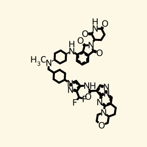 CN(CC1CCC(n2cc(NC(=O)c3cnn4cc5c(nc34)N3CCOCC3CC5)c(C(F)F)n2)CC1)[C@H]1CC[C@H](Nc2cccc3c2C(=O)N(C2CCC(=O)NC2=O)C3=O)CC1